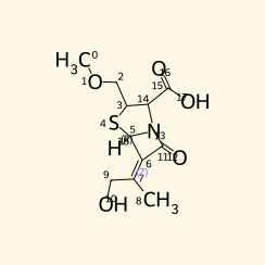 COCC1S[C@@H]2/C(=C(/C)CO)C(=O)N2C1C(=O)O